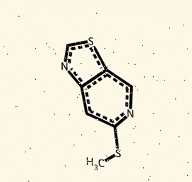 CSc1cc2ncsc2cn1